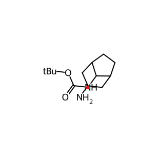 CC(C)(C)OC(=O)NC1C2CCC1CC(N)C2